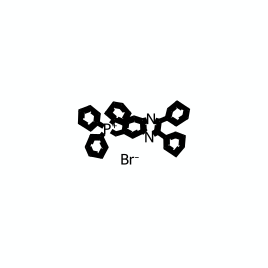 [Br-].c1ccc(-c2nc3ccc(C[P+](c4ccccc4)(c4ccccc4)c4ccccc4)cc3nc2-c2ccccc2)cc1